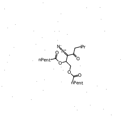 CCCCCC(=O)OCC(OC(=O)CCCCC)C(=[N+]=[N-])C(=O)CC(C)C